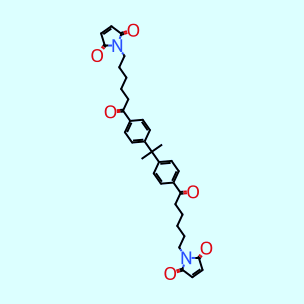 CC(C)(c1ccc(C(=O)CCCCCN2C(=O)C=CC2=O)cc1)c1ccc(C(=O)CCCCCN2C(=O)C=CC2=O)cc1